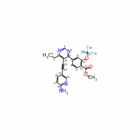 CCc1ncnc(-c2ccc(C(=O)OC)c(OC(F)(F)F)c2)c1C#Cc1ccc(N)nc1